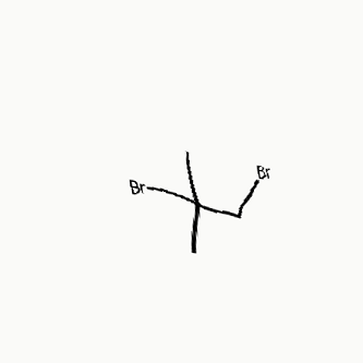 CC(C)(Br)CBr